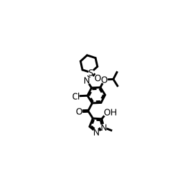 CC(C)Oc1ccc(C(=O)c2cnn(C)c2O)c(Cl)c1N=S1(=O)CCCCC1